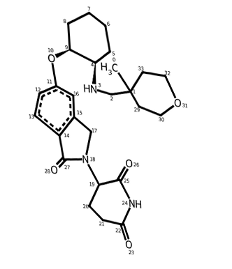 CC1(CN[C@@H]2CCCC[C@@H]2Oc2ccc3c(c2)CN(C2CCC(=O)NC2=O)C3=O)CCOCC1